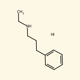 CCNCCCc1ccccc1.I